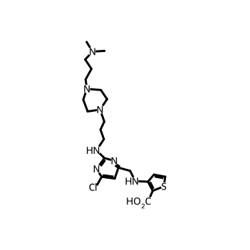 CN(C)CCCN1CCN(CCCNc2nc(Cl)cc(CNc3ccsc3C(=O)O)n2)CC1